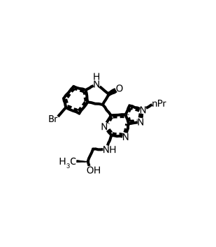 CCCn1cc2c(C3C(=O)Nc4ccc(Br)cc43)nc(NC[C@H](C)O)nc2n1